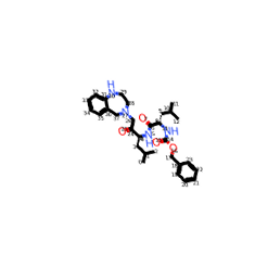 CC(C)C[C@H](NC(=O)[C@H](CC(C)C)NC(=O)OCc1ccccc1)C(=O)CN1CCNc2ccccc2C1